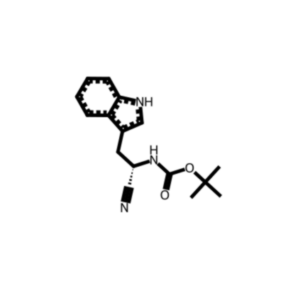 CC(C)(C)OC(=O)N[C@H](C#N)Cc1c[nH]c2ccccc12